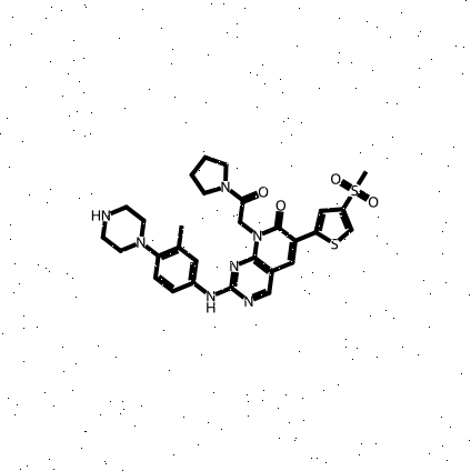 Cc1cc(Nc2ncc3cc(-c4cc(S(C)(=O)=O)cs4)c(=O)n(CC(=O)N4CCCC4)c3n2)ccc1N1CCNCC1